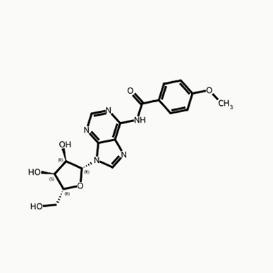 COc1ccc(C(=O)Nc2ncnc3c2ncn3[C@@H]2O[C@H](CO)[C@@H](O)[C@H]2O)cc1